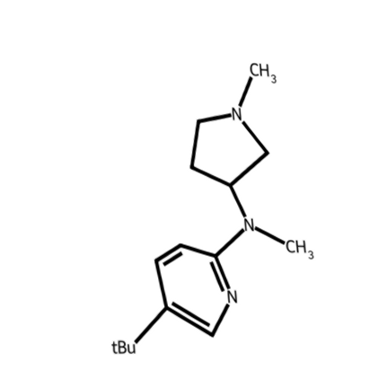 CN1CCC(N(C)c2ccc(C(C)(C)C)cn2)C1